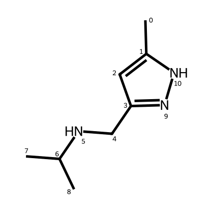 Cc1cc(CNC(C)C)n[nH]1